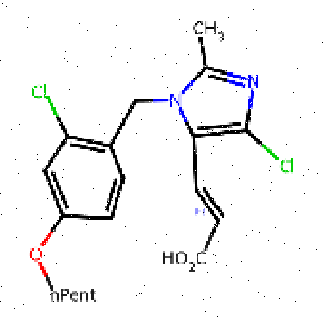 CCCCCOc1ccc(Cn2c(C)nc(Cl)c2/C=C/C(=O)O)c(Cl)c1